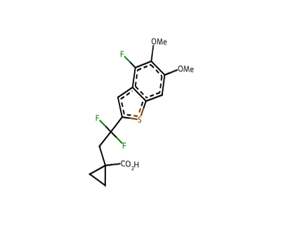 COc1cc2sc(C(F)(F)CC3(C(=O)O)CC3)cc2c(F)c1OC